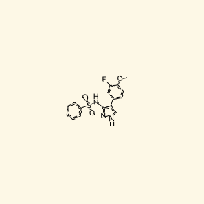 COc1ccc(-c2c[nH]nc2NS(=O)(=O)c2ccccc2)cc1F